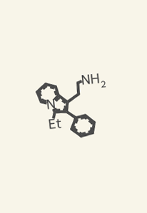 CCc1c(-c2ccccc2)c(CCN)c2ccccn12